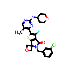 Cc1cnc(NC2CCOCC2)nc1-c1sc2c(c1F)C(=O)N(Cc1cccc(Cl)c1)C21COC1